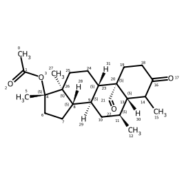 CC(=O)O[C@@]1(C)CC[C@H]2[C@@H]3C[C@H](C)[C@H]4C(C)C(=O)CC[C@]4(C=O)[C@H]3CC[C@@]21C